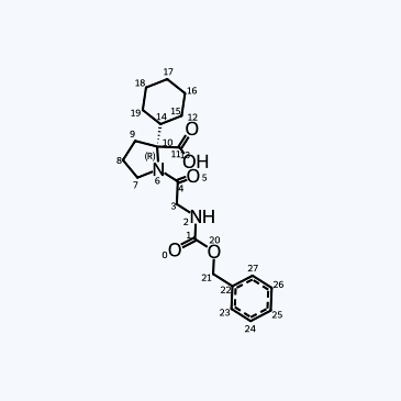 O=C(NCC(=O)N1CCC[C@]1(C(=O)O)C1CCCCC1)OCc1ccccc1